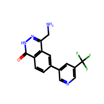 NCc1n[nH]c(=O)c2ccc(-c3cncc(C(F)(F)F)c3)cc12